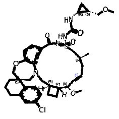 COC[C@H]1C[C@H]1NC(=O)N[S@@]1(=O)=NC(=O)c2ccc3c(c2)N(C[C@@H]2CC[C@H]2[C@@H](OC)/C=C/C[C@H](C)C1)C[C@@]1(CCCc2cc(Cl)ccc21)CO3